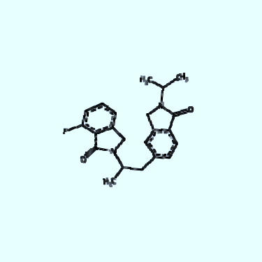 CC(C)N1Cc2cc(CC(C)N3Cc4cccc(F)c4C3=O)ccc2C1=O